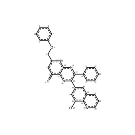 O=c1cc(COc2ccccc2)[nH]c2nc(-c3ccccc3)c(-c3cc(Cl)c4ncccc4c3)nc12